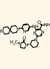 CN1CCN([C@@H]2CCCN(c3cnc(C(N)=O)c(Nc4ccc(N5CCC6(CCNCC6)CC5)nc4)n3)C2)C1=O